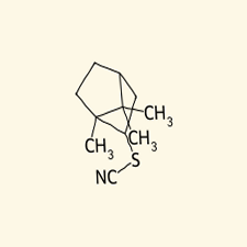 CC1(C)C2CCC1(C)C(SC#N)C2